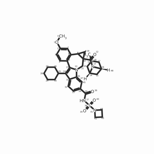 COc1ccc2c(c1)C1CC1(C(=O)N1[C@@H]3C[C@H]1CN(C)C3)Cn1c-2c(C2CCCCC2)c2ccc(C(=O)NS(=O)(=O)N3CCC3)cc21